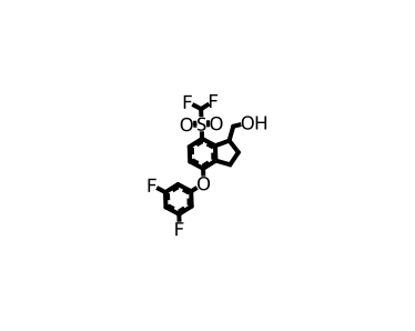 O=S(=O)(c1ccc(Oc2cc(F)cc(F)c2)c2c1C(CO)CC2)C(F)F